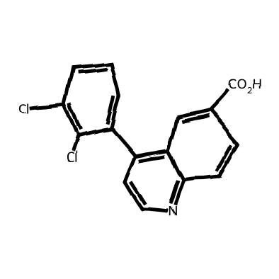 O=C(O)c1ccc2nccc(-c3cccc(Cl)c3Cl)c2c1